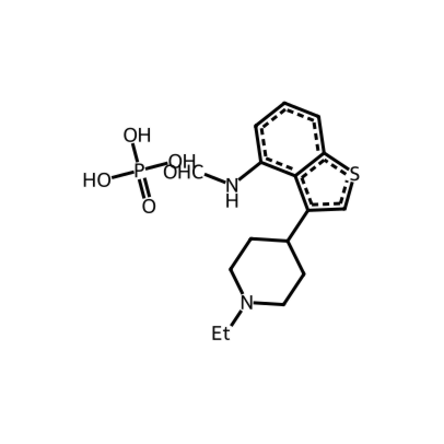 CCN1CCC(c2csc3cccc(NC=O)c23)CC1.O=P(O)(O)O